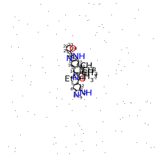 CCN(C(=O)c1ccc2nc[nH]c2c1)[C@@H]1Cc2cc3nc(C4CCCO4)[nH]c3cc2C(C)(C)C1(C)C